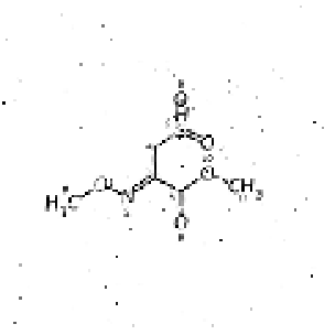 CON=C(C[SH](=O)=O)C(=O)OC